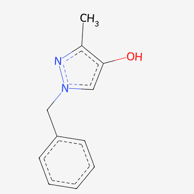 Cc1nn(Cc2ccccc2)cc1O